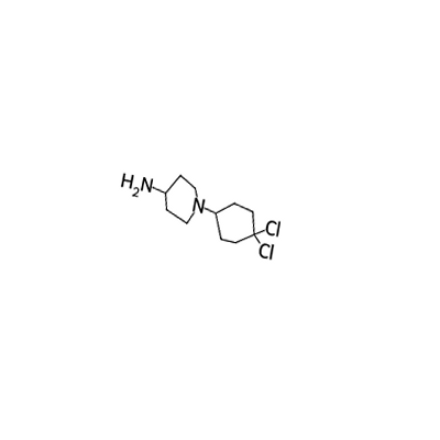 NC1CCN(C2CCC(Cl)(Cl)CC2)CC1